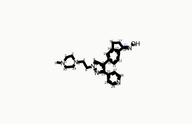 CN1CCN(CCn2cc(-c3ccc4c(c3)CC/C4=N\O)c(-c3ccncc3)n2)CC1